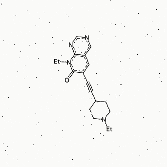 CCN1CCC(C#Cc2cc3cncnc3n(CC)c2=O)CC1